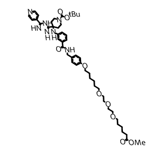 COC(=O)CCCCCOCCOCCOCCCCCCOc1ccc(CNC(=O)c2cccc(NC3(C(=N)NC(=N)c4ccncc4)CCN(C(=O)OC(C)(C)C)CC3)c2)cc1